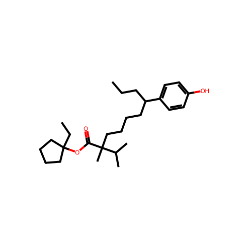 CCCC(CCCCC(C)(C(=O)OC1(CC)CCCC1)C(C)C)c1ccc(O)cc1